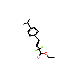 CCOC(=O)C(F)(F)C=Cc1ccc(C(C)C)cc1